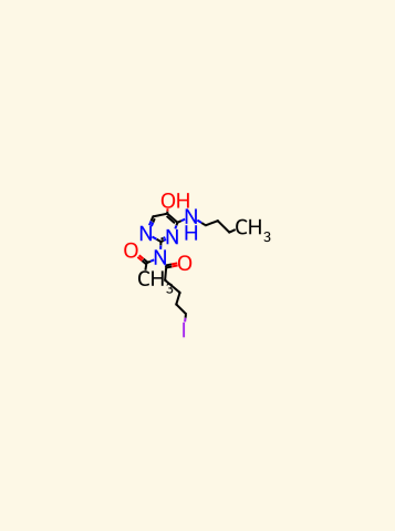 CCCCNc1nc(N(C(C)=O)C(=O)CCCCI)ncc1O